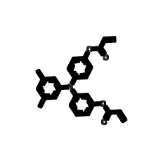 C=CC(=O)Oc1ccc(N(c2cc(C)cc(C)c2)c2cccc(OC(=O)C=C)c2)cc1